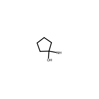 [NH]C1(O)CCCC1